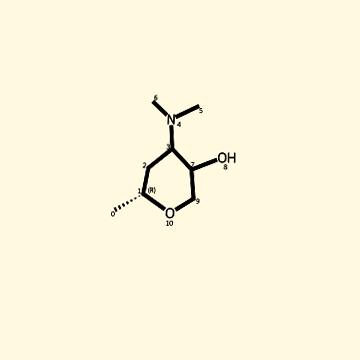 C[C@@H]1CC(N(C)C)C(O)CO1